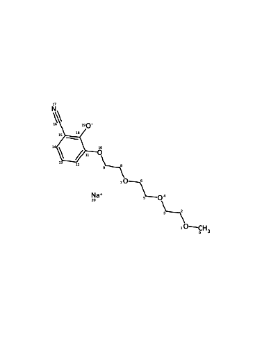 COCCOCCOCCOc1cccc(C#N)c1[O-].[Na+]